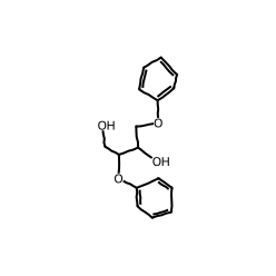 OCC(Oc1ccccc1)C(O)COc1ccccc1